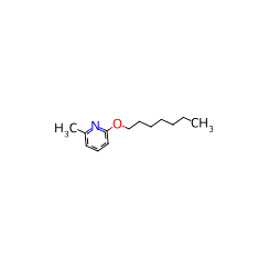 CCCCCCCOc1cccc(C)n1